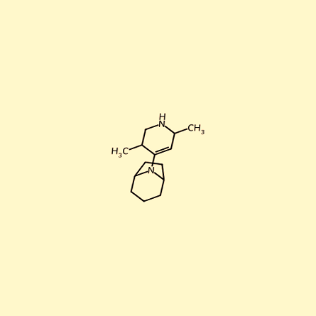 CC1C=C(N2C3CCCC2CC3)C(C)CN1